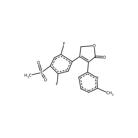 Cc1cccc(C2=C(c3cc(F)c(S(C)(=O)=O)cc3F)COC2=O)n1